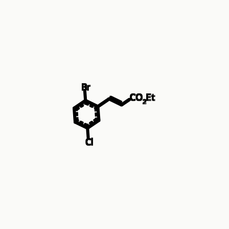 CCOC(=O)C=Cc1cc(Cl)ccc1Br